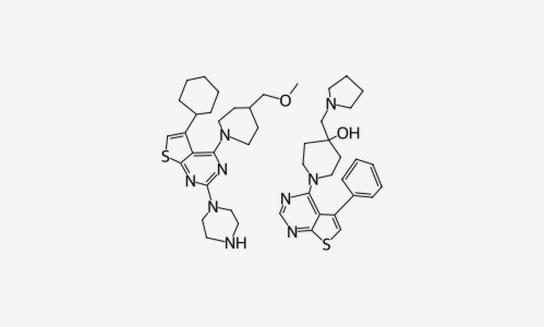 COCC1CCN(c2nc(N3CCNCC3)nc3scc(C4CCCCC4)c23)CC1.OC1(CN2CCCC2)CCN(c2ncnc3scc(-c4ccccc4)c23)CC1